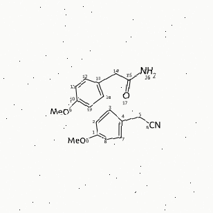 COc1ccc(CC#N)cc1.COc1ccc(CC(N)=O)cc1